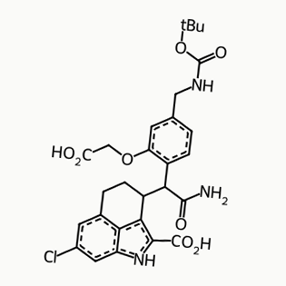 CC(C)(C)OC(=O)NCc1ccc(C(C(N)=O)C2CCc3cc(Cl)cc4[nH]c(C(=O)O)c2c34)c(OCC(=O)O)c1